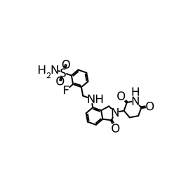 NS(=O)(=O)c1cccc(CNc2cccc3c2CN(C2CCC(=O)NC2=O)C3=O)c1F